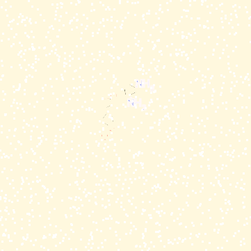 CCCCC1CCC(OC(=O)c2ccc(/C=C/C(=O)OCC(C)c3cc(N)cc(N)c3)cc2)CC1